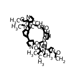 C=CC(=O)N1CC[C@H](C(=O)N(C)C(C(=O)N[C@H]2Cc3cc(ccn3)-c3ccc4c(c3)c(c(-c3cccnc3COC)n4CC)CC(C)(C)COC(=O)[C@@H]3CCCN(N3)C2=O)C(C)C)C1